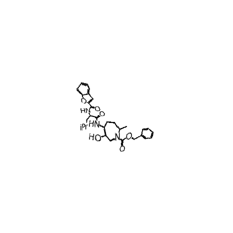 CC(C)CC(NC(=O)c1cc2ccccc2o1)C(=O)NC1CCC(C)N(C(=O)OCc2ccccc2)CC1O